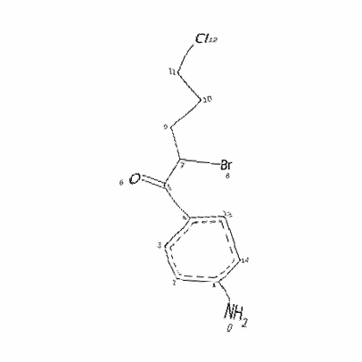 Nc1ccc(C(=O)C(Br)CCCCl)cc1